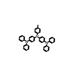 Cc1ccc(N(c2ccc(N(c3ccccc3)c3ccccc3)cc2)c2ccc(N(c3ccccc3)c3ccccc3)cc2)cc1